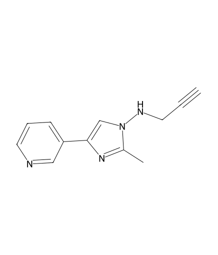 C#CCNn1cc(-c2cccnc2)nc1C